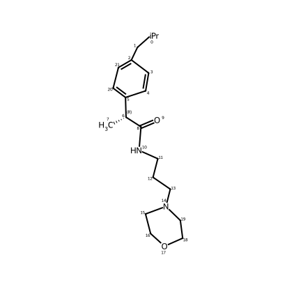 CC(C)Cc1ccc([C@@H](C)C(=O)NCCCN2CCOCC2)cc1